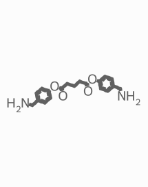 NCc1ccc(OC(=O)CCCC(=O)Oc2ccc(CN)cc2)cc1